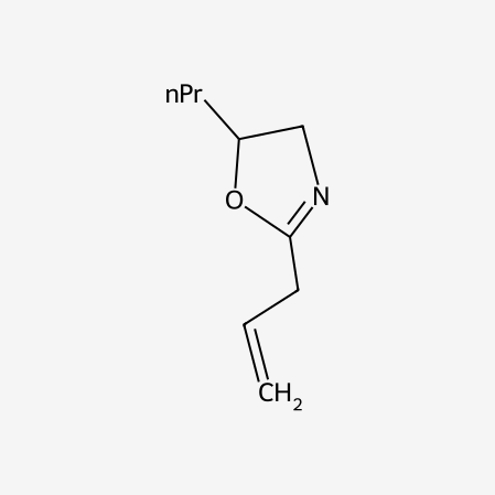 C=CCC1=NCC(CCC)O1